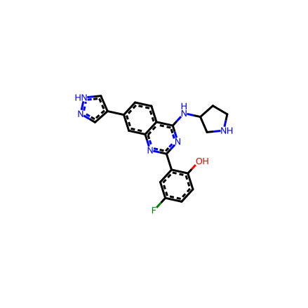 Oc1ccc(F)cc1-c1nc(NC2CCNC2)c2ccc(-c3cn[nH]c3)cc2n1